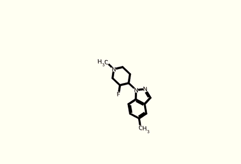 Cc1ccc2c(cnn2C2CCN(C)CC2F)c1